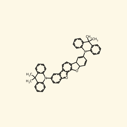 CC1(C)c2ccccc2N(C2=CC3c4ccc5c(oc6ccc(N7c8ccccc8C(C)(C)c8ccccc87)cc65)c4OC3C=C2)c2ccccc21